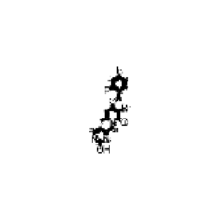 Cc1cc(OCc2ccc(F)cc2F)c(Br)c(=O)n1Cc1ccnc(O)n1